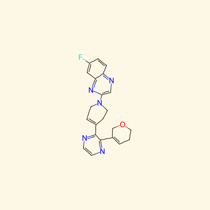 Fc1ccc2ncc(N3CC=C(c4nccnc4C4=CCCOC4)CC3)nc2c1